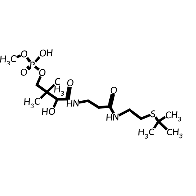 COP(=O)(O)OCC(C)(C)C(O)C(=O)NCCC(=O)NCCSC(C)(C)C